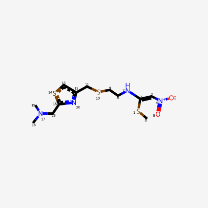 CSC(=C[N+](=O)[O-])NCCSCc1csc(CN(C)C)n1